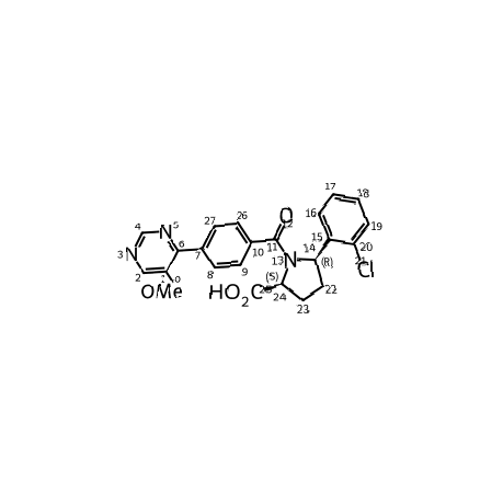 COc1cncnc1-c1ccc(C(=O)N2[C@@H](c3ccccc3Cl)CC[C@H]2C(=O)O)cc1